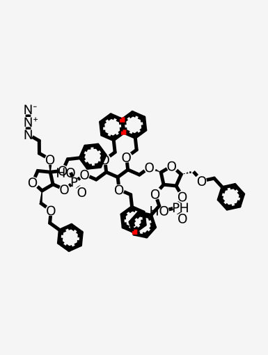 [N-]=[N+]=NCCO[C@]1(OCc2ccccc2)CO[C@H](COCc2ccccc2)C1OP(=O)(O)OCC(OCc1ccccc1)C(OCc1ccccc1)C(CO[C@@H]1O[C@H](COCc2ccccc2)C(O[PH](=O)O)C1OCc1ccccc1)OCc1ccccc1